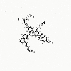 COCCCN1CCOc2ccc(CO[C@H]3CN(S(=O)(=O)c4ccc(C)cc4)C[C@@H](OCCC#N)[C@@H]3c3ccc(COC[C@@H](C)COC)cc3)cc21